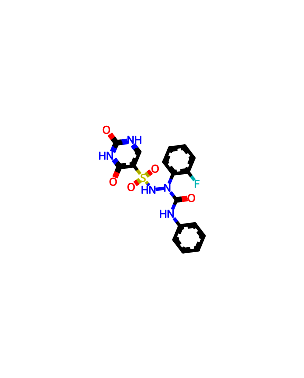 O=C(Nc1ccccc1)N(NS(=O)(=O)c1c[nH]c(=O)[nH]c1=O)c1ccccc1F